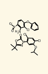 CC(C)Oc1cc(-n2nc(C(C)(C)C)oc2=O)c(Cl)cc1Cl.Nc1c([N+](=O)[O-])ccc(Oc2ccccc2)c1Cl